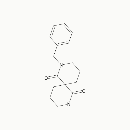 O=C1NCCCC12CCCN(Cc1ccccc1)C2=O